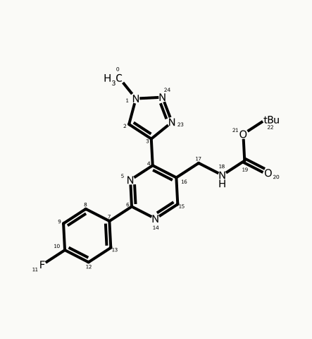 Cn1cc(-c2nc(-c3ccc(F)cc3)ncc2CNC(=O)OC(C)(C)C)nn1